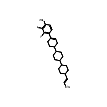 CCCC/C=C/C1CCC(C2CCC(C3CC=C(c4ccc(CCCC)c(F)c4F)CC3)CC2)CC1